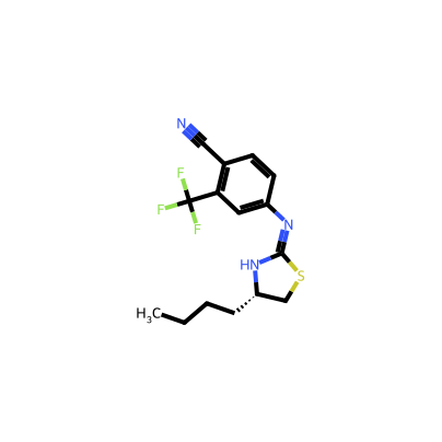 CCCC[C@H]1CSC(=Nc2ccc(C#N)c(C(F)(F)F)c2)N1